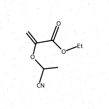 C=C(OC(C)C#N)C(=O)OCC